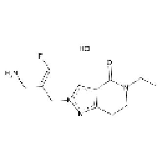 CCN1CCc2nn(CC(=CF)CN)cc2C1=O.Cl